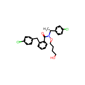 C[C@H](c1ccc(Cl)cc1)N(OCCCCO)C(=O)c1ccccc1Cc1ccc(Cl)cc1